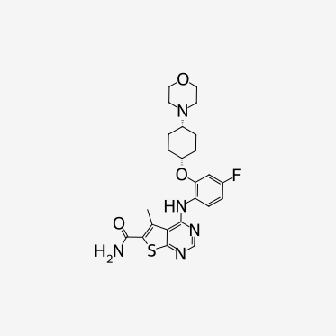 Cc1c(C(N)=O)sc2ncnc(Nc3ccc(F)cc3O[C@H]3CC[C@@H](N4CCOCC4)CC3)c12